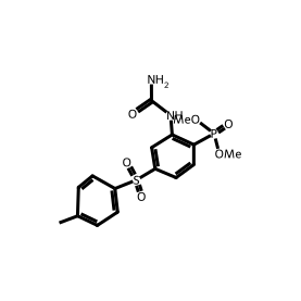 COP(=O)(OC)c1ccc(S(=O)(=O)c2ccc(C)cc2)cc1NC(N)=O